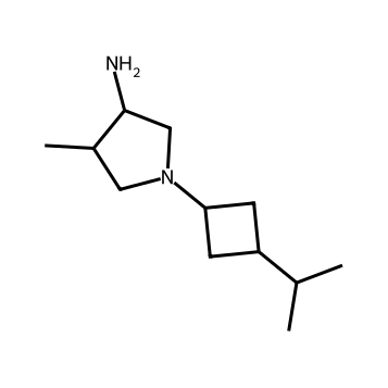 CC(C)C1CC(N2CC(C)C(N)C2)C1